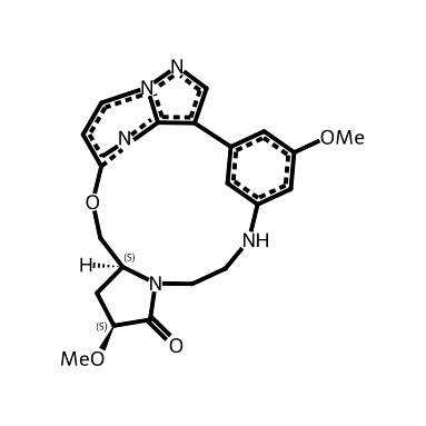 COc1cc2cc(c1)-c1cnn3ccc(nc13)OC[C@@H]1C[C@H](OC)C(=O)N1CCN2